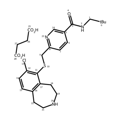 CC(C)(C)CNC(=O)c1ccc(CSc2c(Cl)ccc3c2CCNCC3)nc1.O=C(O)CCC(=O)O